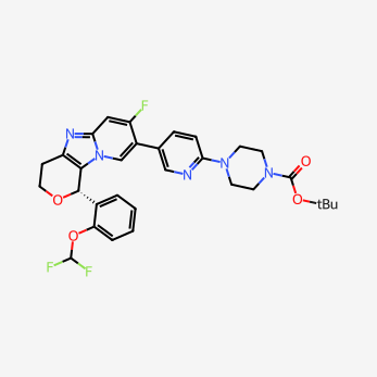 CC(C)(C)OC(=O)N1CCN(c2ccc(-c3cn4c5c(nc4cc3F)CCO[C@H]5c3ccccc3OC(F)F)cn2)CC1